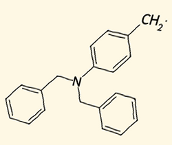 [CH2]c1ccc(N(Cc2ccccc2)Cc2ccccc2)cc1